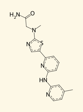 Cc1ccnc(Nc2cccc(-c3cnc(N(C)CC(N)=O)s3)n2)c1